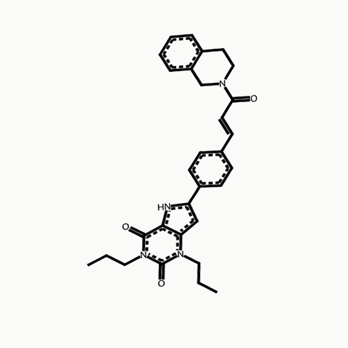 CCCn1c(=O)c2[nH]c(-c3ccc(C=CC(=O)N4CCc5ccccc5C4)cc3)cc2n(CCC)c1=O